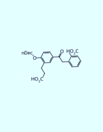 CCCCCCCCCCOc1ccc(C(=O)Cc2ccccc2C(=O)O)cc1CCC(=O)O